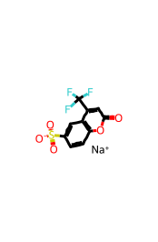 O=c1cc(C(F)(F)F)c2cc(S(=O)(=O)[O-])ccc2o1.[Na+]